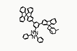 CC1C=C2C3CC(C1)CC3C21c2ccccc2-c2ccc(-c3cc(-c4ccc5c(c4)-c4ccccc4C54c5ccccc5-c5ccccc54)cc(-c4nc(-c5ccccc5)nc(-c5ccccc5)n4)c3)cc21